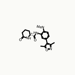 CNc1ccc(-c2c(C)noc2C)cc1NC(=O)[C@H]1CCCC(=O)N1